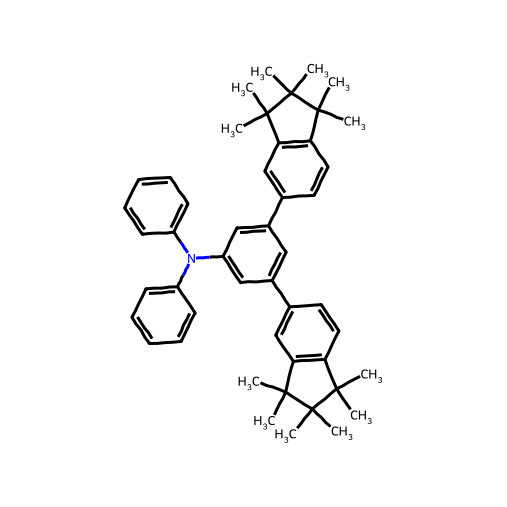 CC1(C)c2ccc(-c3cc(-c4ccc5c(c4)C(C)(C)C(C)(C)C5(C)C)cc(N(c4ccccc4)c4ccccc4)c3)cc2C(C)(C)C1(C)C